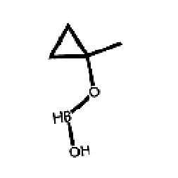 CC1(OBO)CC1